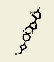 O=c1ccc(-c2ccc3c(c2)COC2(CCN(C4CC(CO)C4)CC2)O3)c[nH]1